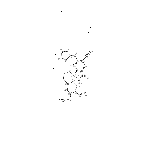 N#Cc1cnc([N@+]2(C(N)=O)CCCc3cc(CO)c(C=O)nc32)nc1OC1CCOC1